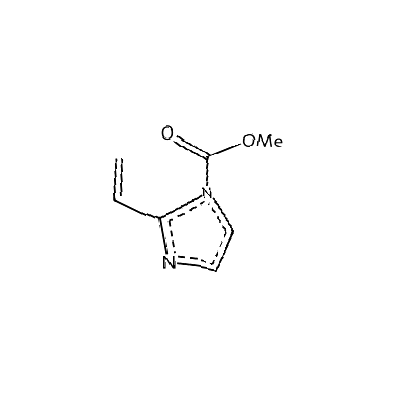 C=Cc1nccn1C(=O)OC